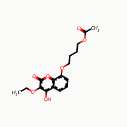 CCOc1c(O)c2cccc(OCCCCOC(C)=O)c2oc1=O